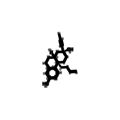 C=CCC[C@@]12CC[C@](O)(C#CC)C[C@H]1CCc1cc(O)ccc12